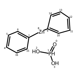 O=[PH](O)O.c1cc[c]([Zn][c]2ccccc2)cc1